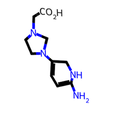 NC1=CC=C(N2CCN(CC(=O)O)C2)CN1